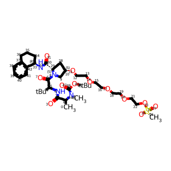 CC(C(=O)NC(C(=O)N1C[C@@H](OCCOCCOCCOCCOS(C)(=O)=O)C[C@H]1C(=O)N[C@@H]1CCCc2ccccc21)C(C)(C)C)N(C)C(=O)OC(C)(C)C